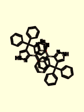 c1ccc(C(c2ccccc2)(c2ccccc2)c2c[nH]nc2-c2c3ccccc3c(-c3n[nH]cc3C(c3ccccc3)(c3ccccc3)c3ccccc3)c3n[se]nc23)cc1